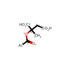 CC(=O)C(=O)OC(C)(CC(=O)O)C(=O)O